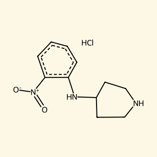 Cl.O=[N+]([O-])c1ccccc1NC1CCNCC1